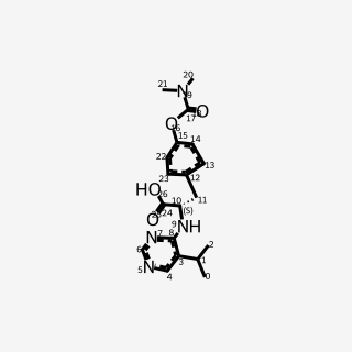 CC(C)c1cncnc1N[C@@H](Cc1ccc(OC(=O)N(C)C)cc1)C(=O)O